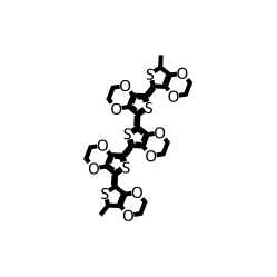 CC1S/C(=c2/s/c(=c3/s/c(=c4/s/c(=C5/SC(C)C6=C5OCCO6)c5c4OCCO5)c4c3OCCO4)c3c2OCCO3)C2=C1OCCO2